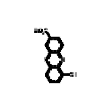 CCOC(=O)c1ccc2nc3c(O)cccc3nc2c1